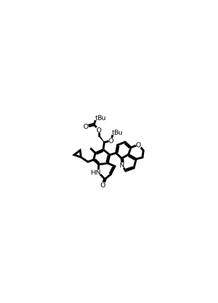 Cc1c([C@@H](COC(=O)C(C)(C)C)OC(C)(C)C)c(-c2ccc3c4c(ccnc24)CCO3)c2ccc(=O)[nH]c2c1CC1CC1